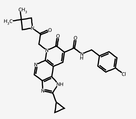 CC1(C)CN(C(=O)Cn2c(=O)c(C(=O)NCc3ccc(Cl)cc3)cc3c4[nH]c(C5CC5)nc4cnc32)C1